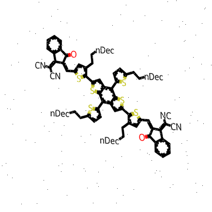 [C-]#[N+]/C(C#N)=C1\C(=Cc2cc(CCCCCCCCCCCC)c(-c3cc4c(-c5ccc(CCCCCCCCCCCC)s5)c5sc(-c6sc(C=C7C(=O)c8ccccc8/C7=C(/C#N)[N+]#[C-])cc6CCCCCCCCCCCC)cc5c(-c5ccc(CCCCCCCCCCCC)s5)c4s3)s2)C(=O)c2ccccc21